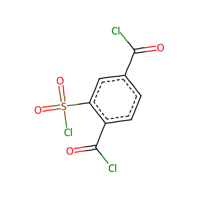 O=C(Cl)c1ccc(C(=O)Cl)c(S(=O)(=O)Cl)c1